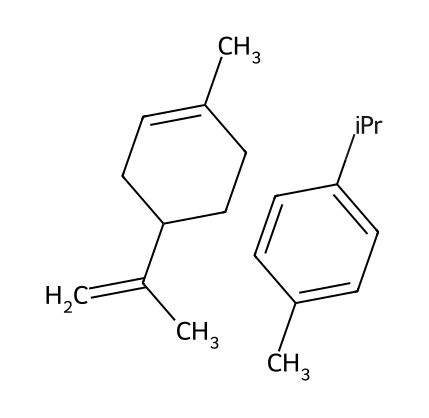 C=C(C)C1CC=C(C)CC1.Cc1ccc(C(C)C)cc1